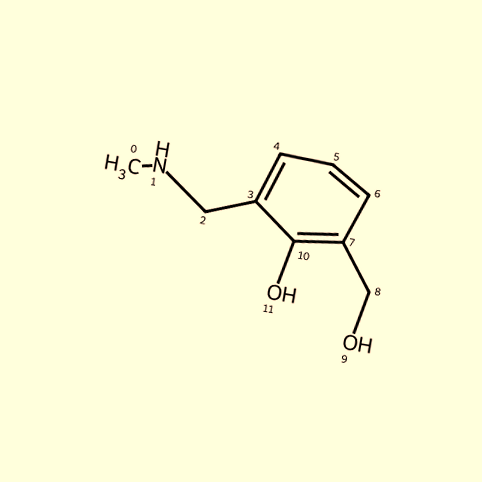 CNCc1cccc(CO)c1O